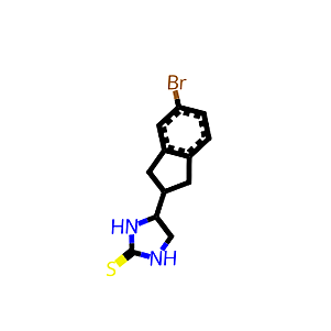 S=C1NCC(C2Cc3ccc(Br)cc3C2)N1